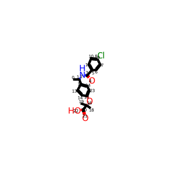 CC(NC(=O)c1ccc(Cl)cc1)c1ccc(OC(C)(C)C(=O)O)cc1